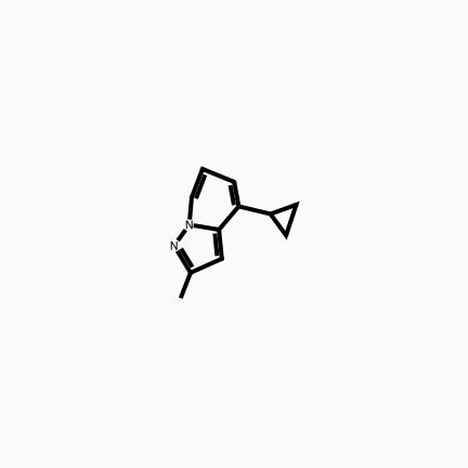 Cc1cc2c(C3CC3)cccn2n1